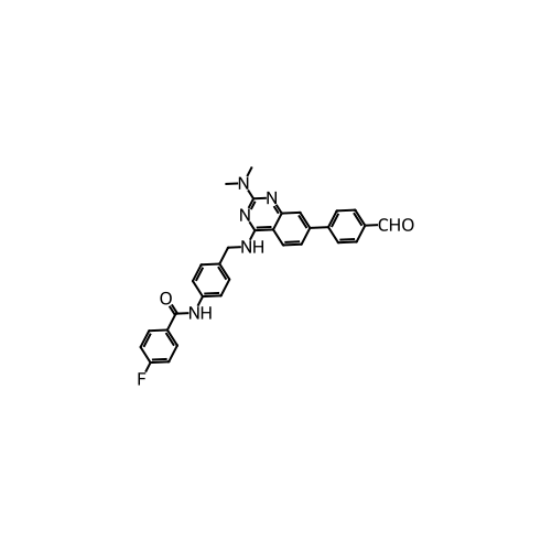 CN(C)c1nc(NCc2ccc(NC(=O)c3ccc(F)cc3)cc2)c2ccc(-c3ccc(C=O)cc3)cc2n1